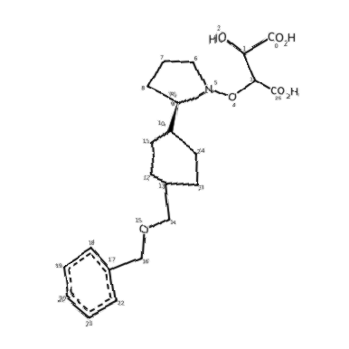 O=C(O)C(O)C(ON1CCC[C@@H]1C1CCC(COCc2ccccc2)CC1)C(=O)O